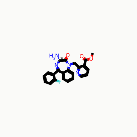 COC(=O)c1cccnc1CN1C(=O)[C@@H](N)N=C(c2ccccc2F)c2ccccc21